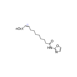 CCCCCCCC/C=C\CCCCCCCC(=O)Nc1ncco1